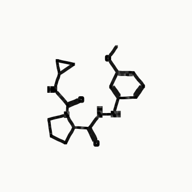 COc1cccc(NNC(=O)C2CCCN2C(=O)NC2CC2)c1